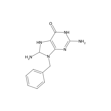 Nc1nc2c(c(=O)[nH]1)NC(N)N2Cc1ccccc1